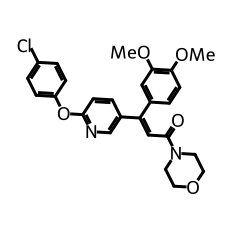 COc1ccc(/C(=C\C(=O)N2CCOCC2)c2ccc(Oc3ccc(Cl)cc3)nc2)cc1OC